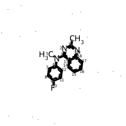 Cc1nc(N(C)c2ccc(F)cc2)c2ccccc2n1